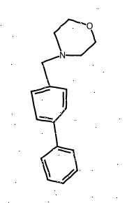 [c]1cccc(-c2ccc(CN3CCOCC3)cc2)c1